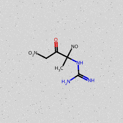 CC(N=O)(NC(=N)N)C(=O)C[N+](=O)[O-]